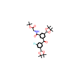 CC(C)(C)OC(=O)CNC(=O)c1cc(B2OC(C)(C)C(C)(C)O2)cc(C(=O)c2cc(F)cc(B3OC(C)(C)C(C)(C)O3)c2)c1